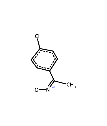 C/C(=N/[O])c1ccc(Cl)cc1